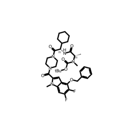 C[C@@H](C(=O)N[C@H](C(=O)N1CCN(C(=O)c2cc3c(OCc4ccccc4)c(F)c(F)cc3n2C)CC1)C1CCCCC1)N(C)C(=O)OC(C)(C)C